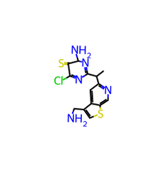 CC(C1=NC(N)C(=S)C(Cl)=N1)c1cc2c(CN)csc2cn1